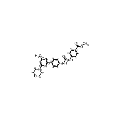 COC(=O)c1ccc(NC(=O)Nc2ccc(-c3nc(C)nc(N4CCOCC4)n3)cc2)cc1